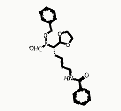 O=CN(OCc1ccccc1)[C@@H](CCCCNC(=O)c1ccccc1)C1OCCO1